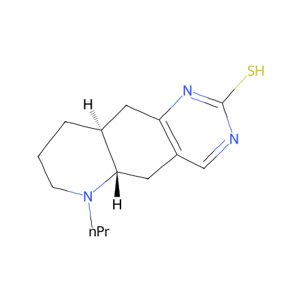 CCCN1CCC[C@H]2Cc3nc(S)ncc3C[C@@H]21